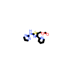 O=COCc1sc(Nc2ncccn2)nc1-c1ccccn1